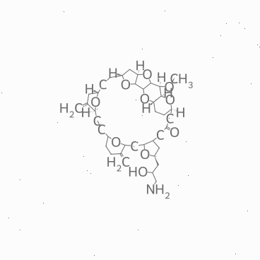 C=C1CCC2CC[C@@H]3O[C@@H](CC[C@@H]4C[C@H]5OC6C(O[C@H]7CC[C@H](CC(=O)CC8C[C@@H](CC(O)CN)OC8CC1O2)O[C@@H]7[C@@H]6OC)C5O4)CC3=C